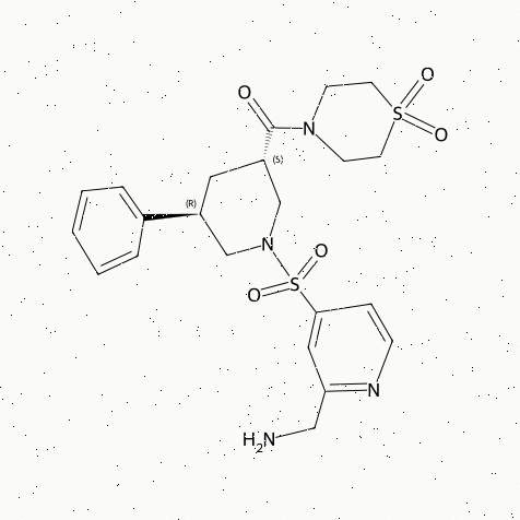 NCc1cc(S(=O)(=O)N2C[C@@H](C(=O)N3CCS(=O)(=O)CC3)C[C@H](c3ccccc3)C2)ccn1